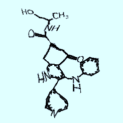 CC(CO)NC(=O)[C@H]1CC(=O)c2c([nH]c(-c3ccncc3)c2Nc2ccccc2)C1